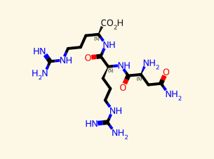 N=C(N)NCCC[C@H](NC(=O)[C@H](CCCNC(=N)N)NC(=O)[C@@H](N)CC(N)=O)C(=O)O